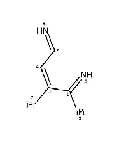 CC(C)C(=N)/C(=C\C=N)C(C)C